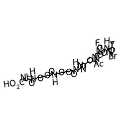 CC(=O)c1nn(CC(=O)N2C[C@H](F)C[C@H]2C(=O)Nc2nc(Br)ccc2C2CC2)c2ccc(-c3cnc(CNC(=O)COCCOCCNC(=O)COCCOCCNC(=O)CC[C@H](N)C(=O)O)nc3)cc12